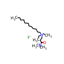 CCCCCCCCCCCC[N+](CC)(CC)CCC(=O)N(C)C.[F-]